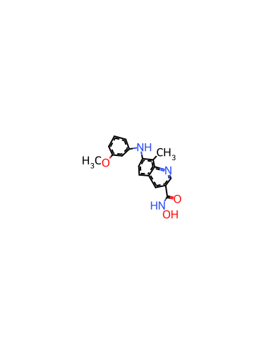 COc1cccc(Nc2ccc3cc(C(=O)NO)cnc3c2C)c1